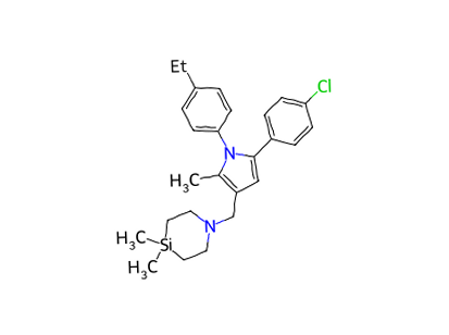 CCc1ccc(-n2c(-c3ccc(Cl)cc3)cc(CN3CC[Si](C)(C)CC3)c2C)cc1